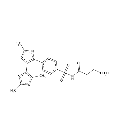 Cc1nc(C)c(-c2cc(C(F)(F)F)nn2-c2ccc(S(=O)(=O)NC(=O)CCC(=O)O)cc2)s1